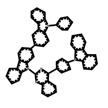 c1ccc(-n2c3ccccc3c3cc(-c4ccc5c6ccccc6n(-c6nc(-c7ccc(-n8c9ccccc9c9ccccc98)cc7)c7ccccc7n6)c5c4)ccc32)cc1